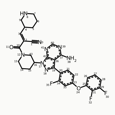 N#CC(=CC1CCCNC1)C(=O)N1CCCC(n2nc(-c3ccc(Oc4cccc(F)c4F)cc3F)c3c(N)ncnc32)C1